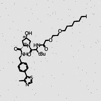 Cc1ncsc1-c1ccc(CNC(=O)[C@@H]2C[C@@H](O)CN2C(=O)C(NC(=O)COCCOCCCCCCI)C(C)(C)C)cc1